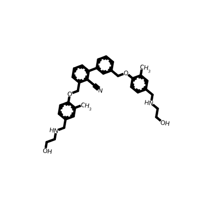 Cc1cc(CNCCO)ccc1OCc1cccc(-c2cccc(COc3ccc(CNCCO)cc3C)c2C#N)c1